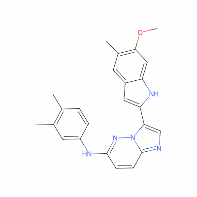 COc1cc2[nH]c(-c3cnc4ccc(Nc5ccc(C)c(C)c5)nn34)cc2cc1C